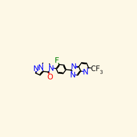 CN(C(=O)c1ccnn1C)c1ccc(-c2ncc3nc(C(F)(F)F)ccc3n2)cc1F